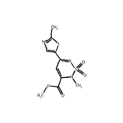 COC(=O)C1=CC(c2cnc(C)s2)=NS(=O)(=O)N1C